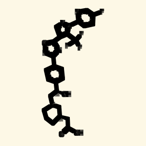 O=C(O)C[C@H]1CCCN(C[C@@H](O)c2ccc(-c3noc(-c4cnn(-c5ccc(F)cn5)c4C(F)(F)F)n3)cc2)C1